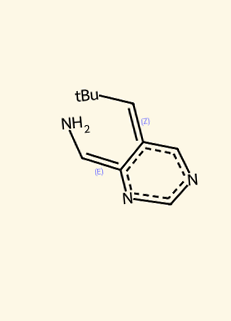 CC(C)(C)/C=c1/cncn/c1=C/N